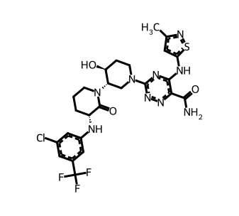 Cc1cc(Nc2nc(N3CC[C@H](O)[C@@H](N4CCC[C@@H](Nc5cc(Cl)cc(C(F)(F)F)c5)C4=O)C3)nnc2C(N)=O)sn1